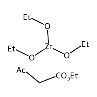 CCOC(=O)CC(C)=O.CC[O][Zr]([O]CC)[O]CC